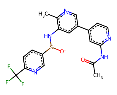 CC(=O)Nc1cc(-c2cnc(C)c(N[S+]([O-])c3ccc(C(F)(F)F)nc3)c2)ccn1